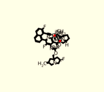 C=C1CN2C[C@H](F)CC2(COc2nc3c4c(nc(-c5cccc6ccc(F)c(C#C[Si](C(C)C)(C(C)C)C(C)C)c56)c(F)c4n2)O[C@@H](C)[C@@H]2[C@@H]4CC[C@H](CN32)N4C(=O)OC(C)(C)C)C1